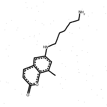 Cc1cc(NCCCCCN)cc2ccc(=O)oc12